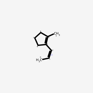 C/C=C\C1=C(C)CCC1